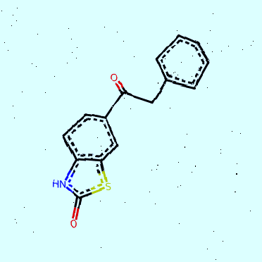 O=C(Cc1ccccc1)c1ccc2[nH]c(=O)sc2c1